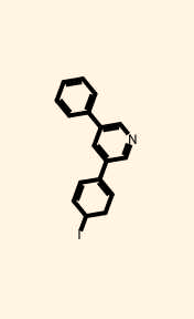 IC1C=CC(c2cncc(-c3ccccc3)c2)=CC1